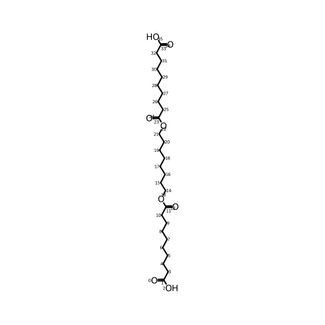 O=C(O)CCCCCCCCC(=O)OCCCCCCCCOC(=O)CCCCCCCCC(=O)O